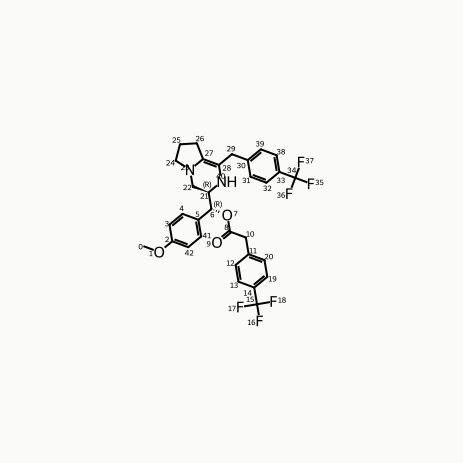 COc1ccc([C@@H](OC(=O)Cc2ccc(C(F)(F)F)cc2)[C@H]2CN3CCCC3=C(Cc3ccc(C(F)(F)F)cc3)N2)cc1